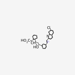 CC(C(=O)O)c1ccccc1CCC(O)c1cccc(/C=C/c2ccc3ccc(Cl)cc3n2)c1